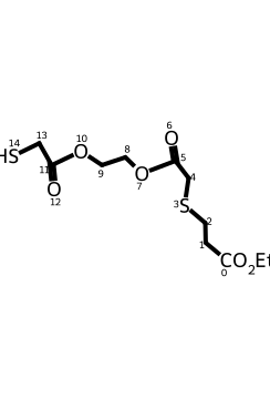 CCOC(=O)CCSCC(=O)OCCOC(=O)CS